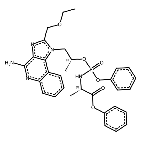 CCOCc1nc2c(N)nc3ccccc3c2n1C[C@@H](C)OP(=O)(N[C@@H](C)C(=O)Oc1ccccc1)Oc1ccccc1